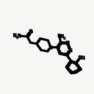 NC(=O)CC1CCN(c2cc(-c3ccccc3O)nnc2N)CC1